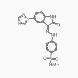 CNS(=O)(=O)c1ccc(N/N=C2\C(=O)Nc3ccc(-n4cncn4)cc32)cc1